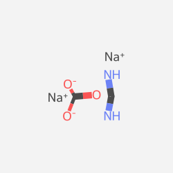 N=C=N.O=C([O-])[O-].[Na+].[Na+]